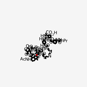 CCCNC(=O)Nc1cccc(S(=O)(=O)Nc2cccc(C(CC(=O)O)NC(=O)Nc3ccc(NC(=O)NCCN(C)CCN(C)CCN(C)CC(=O)NC(CC(N)=O)C(=O)N4CCCC4C(=O)NC(C(=O)OC4(CC)C(=O)OCc5c4cc4n(c5=O)Cc5c-4nc4cc(F)c(C)c6c4c5C(NC(C)=O)CC6)C(C)C)cc3)c2)c1